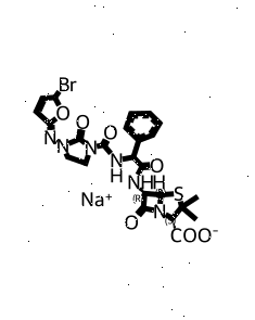 CC1(C)S[C@@H]2[C@H](NC(=O)C(NC(=O)N3CCN(N=C4C=CC(Br)O4)C3=O)c3ccccc3)C(=O)N2[C@H]1C(=O)[O-].[Na+]